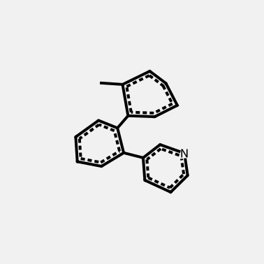 Cc1ccccc1-c1ccccc1-c1cccnc1